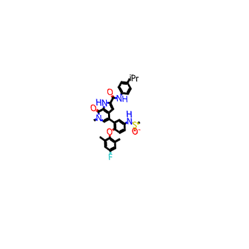 Cc1cc(F)cc(C)c1Oc1ccc(N[S+](C)[O-])cc1-c1cn(C)c(=O)c2[nH]c(C(=O)Nc3ccc(C(C)C)cc3)cc12